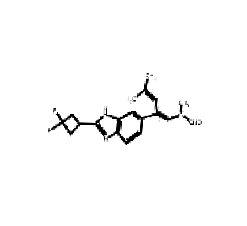 CC(C)=C/C(=C\N(C)C=O)c1ccc2nc(C3CC(F)(F)C3)[nH]c2c1